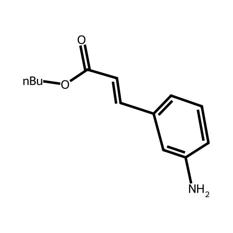 CCCCOC(=O)C=Cc1cccc(N)c1